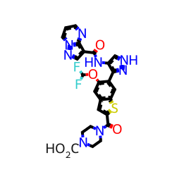 O=C(Nc1c[nH]nc1-c1cc2sc(C(=O)N3CCN(C(=O)O)CC3)cc2cc1OC(F)F)c1cnn2cccnc12